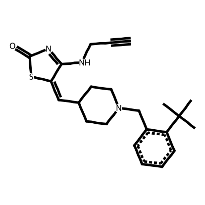 C#CCNC1=NC(=O)SC1=CC1CCN(Cc2ccccc2C(C)(C)C)CC1